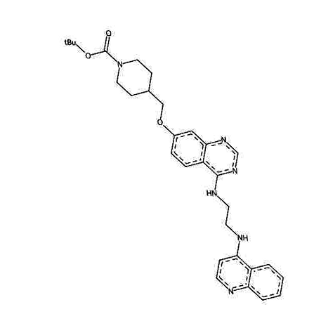 CC(C)(C)OC(=O)N1CCC(COc2ccc3c(NCCNc4ccnc5ccccc45)ncnc3c2)CC1